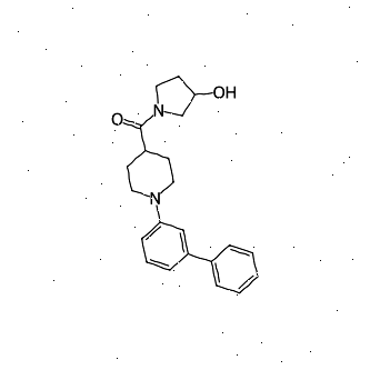 O=C(C1CCN(c2cccc(-c3ccccc3)c2)CC1)N1CCC(O)C1